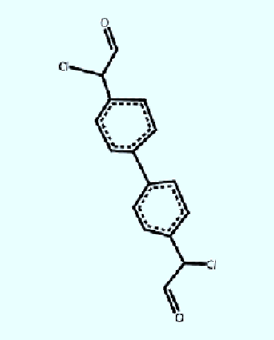 O=CC(Cl)c1ccc(-c2ccc(C(Cl)C=O)cc2)cc1